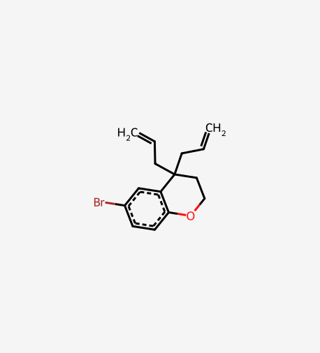 C=CCC1(CC=C)CCOc2ccc(Br)cc21